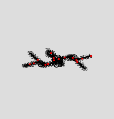 CCCCCCCCCCC(CCCCCCCC)COc1ccc(CCCCCN2C(=O)/C(=C3/C(=O)N(CCCCCc4ccc(OCC(CCCCCCCC)CCCCCCCCCC)cc4)c4cc(-c5ccc6cc(C)ccc6c5)sc43)c3sc(C)cc32)cc1